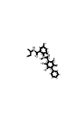 CCC(C)NC(=O)c1cc(C)cc2nc(-c3c(F)c(F)c(-c4ccccc4)c(F)c3F)n(C)c12